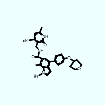 CCCc1cc(C)[nH]c(=O)c1CNC(=O)c1cc(-c2ccc(OC3CCOCC3)cc2)c2ccn(C(C)C)c2c1C